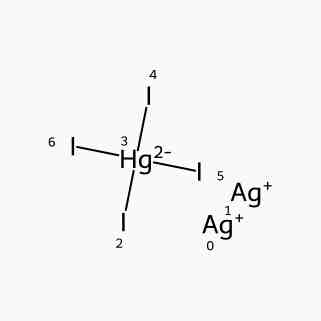 [Ag+].[Ag+].[I][Hg-2]([I])([I])[I]